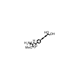 COC(=O)[C@@H](NC(=O)c1ccc(C#CC#C[C@@H](O)CO)cc1)C(C)(C)N